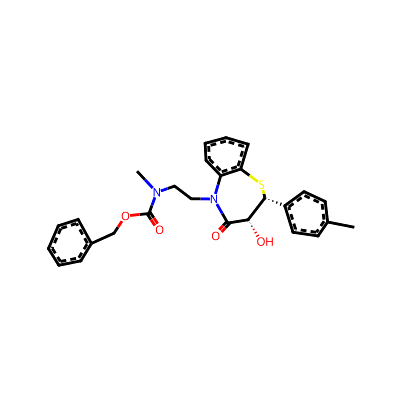 Cc1ccc([C@H]2Sc3ccccc3N(CCN(C)C(=O)OCc3ccccc3)C(=O)[C@H]2O)cc1